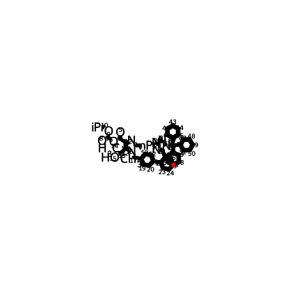 CCCc1nc(C(=O)OC(=O)OC(C)C)c(C(C)(C)O)n1Cc1ccc(-c2ccccc2-c2nnnn2C(c2ccccc2)(c2ccccc2)c2ccccc2)cc1